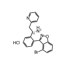 Cl.N[C@@H](Cc1ccccn1)c1ccccc1-c1noc2cccc(Br)c12